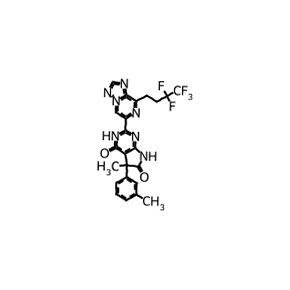 Cc1cccc(C2(C)C(=O)Nc3nc(-c4cn5ncnc5c(CCC(F)(F)C(F)(F)F)n4)[nH]c(=O)c32)c1